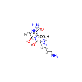 CC(C)C(N)C(=O)N(C(=O)C(N)CCCCN)C(CC(N)=O)C(=O)O